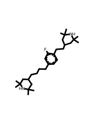 CC1(C)CC(CCCCc2ccc(CCC3CC(C)(C)NC(C)(C)C3)c(F)c2)CC(C)(C)N1